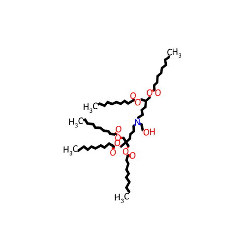 CCCCCCCCCC(=O)OCC(CCCCN(CCO)CCCCC(COC(=O)CCCCCCCCC)(COC(=O)CCCCCCCCC)COC(=O)CCCCCCCCC)COC(=O)CCCCCCCCC